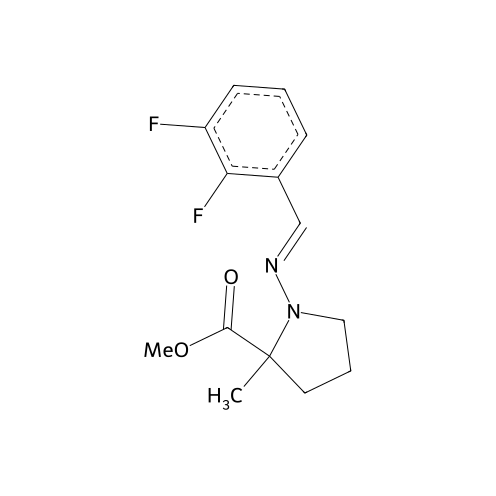 COC(=O)C1(C)CCCN1N=Cc1cccc(F)c1F